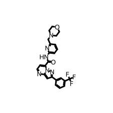 O=C(Nc1cccc(CN2CCOCC2)n1)c1ccnc2cc(-c3cccc(C(F)(F)F)c3)nn12